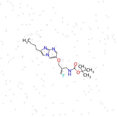 CCCCc1cn2cc(OC/C(=C/F)CNC(=O)OC(C)(C)C)cnc2n1